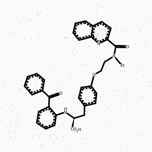 CCN(CCOc1ccc(C[C@H](Nc2ccccc2C(=O)c2ccccc2)C(=O)O)cc1)C(=O)c1ccc2ccccc2n1